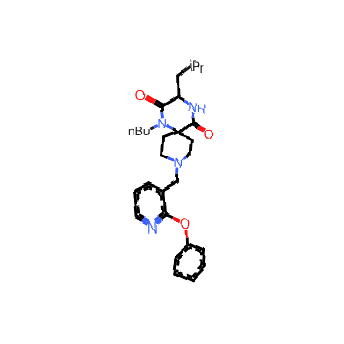 CCCCN1C(=O)C(CC(C)C)NC(=O)C12CCN(Cc1cccnc1Oc1ccccc1)CC2